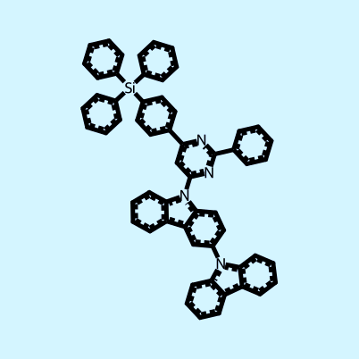 c1ccc(-c2nc(-c3ccc([Si](c4ccccc4)(c4ccccc4)c4ccccc4)cc3)cc(-n3c4ccccc4c4cc(-n5c6ccccc6c6ccccc65)ccc43)n2)cc1